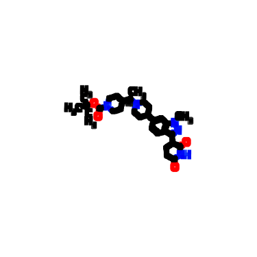 C[C@@H](C1CCN(C(=O)OC(C)(C)C)CC1)N1CCC(c2ccc3c(C4CCC(=O)NC4=O)nn(C)c3c2)CC1